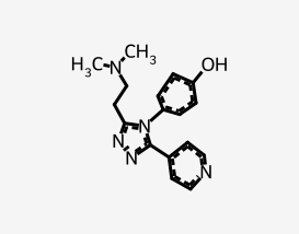 CN(C)CCc1nnc(-c2ccncc2)n1-c1ccc(O)cc1